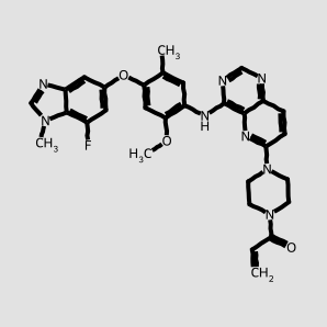 C=CC(=O)N1CCN(c2ccc3ncnc(Nc4cc(C)c(Oc5cc(F)c6c(c5)ncn6C)cc4OC)c3n2)CC1